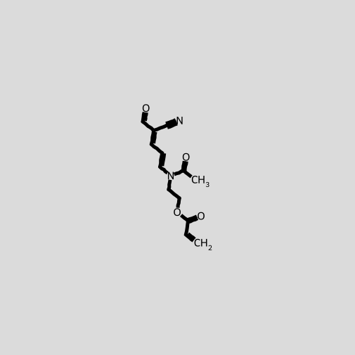 C=CC(=O)OCCN(/C=C/C=C(\C#N)C=O)C(C)=O